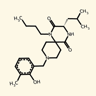 CCCCN1C(=O)[C@H](CC(C)C)NC(=O)C12CCN(Cc1cccc(C)c1O)CC2